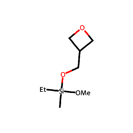 CC[Si](C)(OC)OCC1COC1